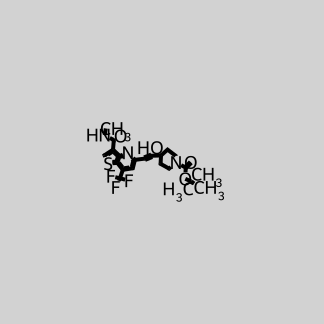 CNC(=O)c1csc2c(C(F)(F)F)cc(C#CC3(O)CCN(C(=O)OC(C)(C)C)CC3)nc12